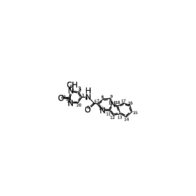 Cn1cc(NC(=O)c2ccn3c(cc4ccccc43)n2)cnc1=O